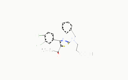 CNC(=O)c1sc(N(CCC(=O)O)Cc2ccccc2)nc1-c1ccc(Cl)c(Cl)c1